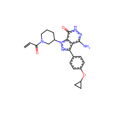 C=CC(=O)N1CCCC(n2nc(-c3ccc(OC4CC4)cc3)c3c(N)n[nH]c(=O)c32)C1